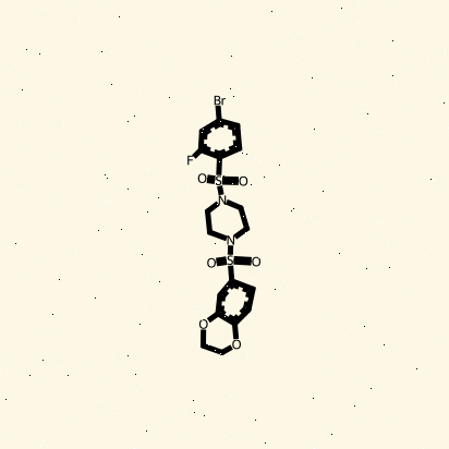 O=S(=O)(c1ccc2c(c1)OCCO2)N1CCN(S(=O)(=O)c2ccc(Br)cc2F)CC1